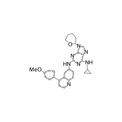 COc1ccc(-c2ccnc3ccc(Nc4nc(NC5CC5)c5ncn(C6CCCCO6)c5n4)cc23)cc1